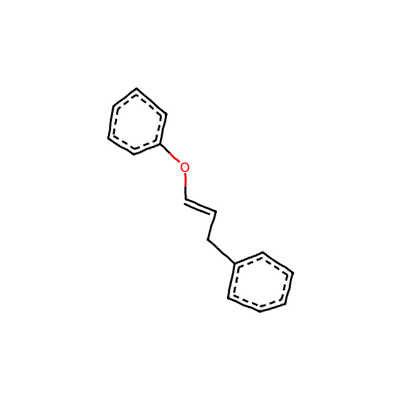 C(=COc1ccccc1)Cc1ccccc1